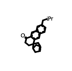 CC(C)Cc1ccc2cc3c(cc2c1)C(=O)CCC31CC2=CCC1C2